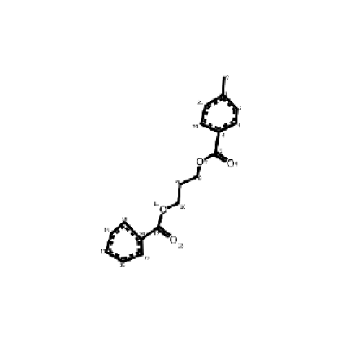 Cc1ccc(C(=O)OCCCOC(=O)c2ccccc2)cc1